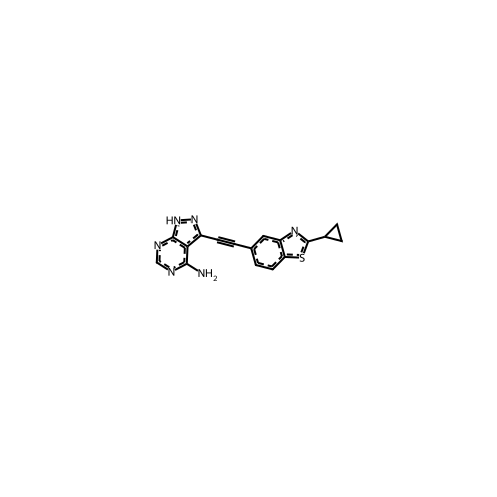 Nc1ncnc2[nH]nc(C#Cc3ccc4sc(C5CC5)nc4c3)c12